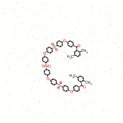 Cc1ccc(C)c(C(=O)c2ccc(Oc3ccc(S(=O)(=O)c4ccc(Oc5ccc(S(=O)(=O)c6ccc(Oc7ccc(S(=O)(=O)c8ccc(Oc9ccc(C(=O)c%10cc(C)ccc%10C)cc9)cc8)cc7)cc6)cc5)cc4)cc3)cc2)c1